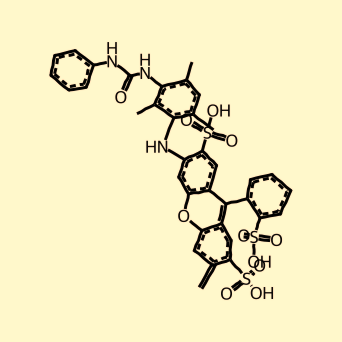 C=c1cc2c(cc1S(=O)(=O)O)=C(c1ccccc1S(=O)(=O)O)c1cc(S(=O)(=O)O)c(Nc3c(C)cc(C)c(NC(=O)Nc4ccccc4)c3C)cc1O2